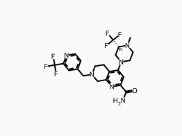 CN1CCN(c2cc(C(N)=O)nc3c2CCN(Cc2ccnc(C(F)(F)F)c2)C3)C[C@@H]1C(F)(F)F